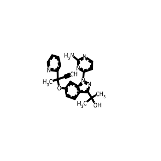 C#CC(C)(Oc1ccc2c(C(C)(C)O)nn(-c3ccnc(N)n3)c2c1)c1ccccn1